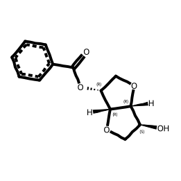 O=C(O[C@@H]1CO[C@H]2[C@@H]1OC[C@@H]2O)c1ccccc1